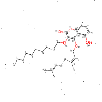 CCCCCCCCCCOc1c(OCC=C(C)CCC=C(C)C)c2c(O)cccc2oc1=O